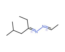 C/C=N/N=C(\CC)CC(C)C